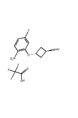 CC(=O)N[C@H]1C[C@H](Oc2cc(F)ccc2[N+](=O)[O-])C1.O=C(O)C(F)(F)F